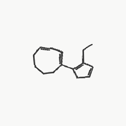 CCC1=C(C2=CC=CCCCC2)CC=C1